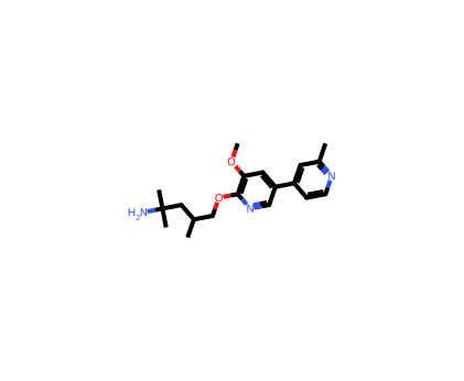 COc1cc(-c2ccnc(C)c2)cnc1OCC(C)CC(C)(C)N